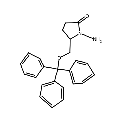 NN1C(=O)CCC1COC(c1ccccc1)(c1ccccc1)c1ccccc1